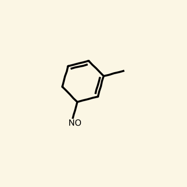 CC1=CC(N=O)CC=C1